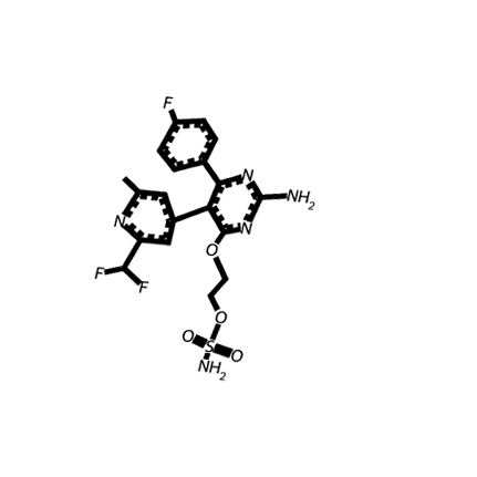 Cc1cc(-c2c(OCCOS(N)(=O)=O)nc(N)nc2-c2ccc(F)cc2)cc(C(F)F)n1